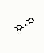 Nc1ccc(NC(=O)Nc2ccccc2Br)c2nn[nH]c12